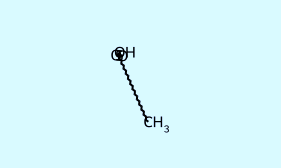 CCCCCCCCCCCCCCCCCCCCCCCCCCS(=O)(=O)O